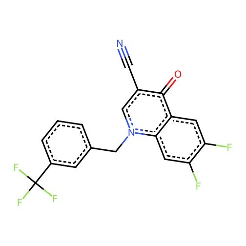 N#Cc1cn(Cc2cccc(C(F)(F)F)c2)c2cc(F)c(F)cc2c1=O